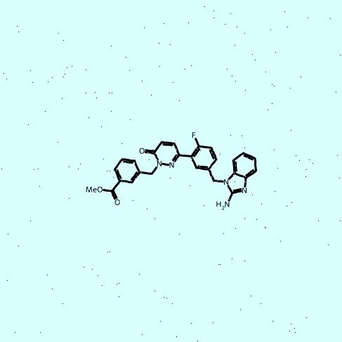 COC(=O)c1cccc(Cn2nc(-c3cc(Cn4c(N)nc5ccccc54)ccc3F)ccc2=O)c1